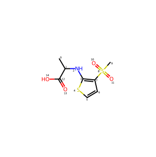 CC(Nc1sccc1S(C)(=O)=O)C(=O)O